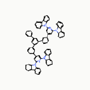 c1ccc(-c2cc(-c3cccc(-c4cc(-n5c6ccccc6c6ccccc65)nc(-n5c6ccccc6c6ccccc65)c4)c3)cc(-c3cccc(-c4cc(-n5c6ccccc6c6ccccc65)nc(-n5c6ccccc6c6ccccc65)c4)c3)c2)cc1